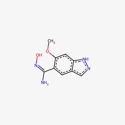 COc1cc2[nH]ncc2cc1/C(N)=N\O